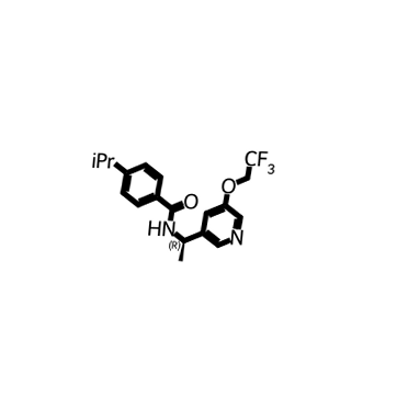 CC(C)c1ccc(C(=O)N[C@H](C)c2cncc(OCC(F)(F)F)c2)cc1